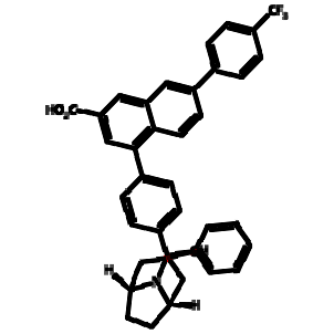 O=C(O)c1cc(-c2ccc(C3(O)C[C@H]4CC[C@@H](C3)N4Cc3ccccc3)cc2)c2ccc(-c3ccc(C(F)(F)F)cc3)cc2c1